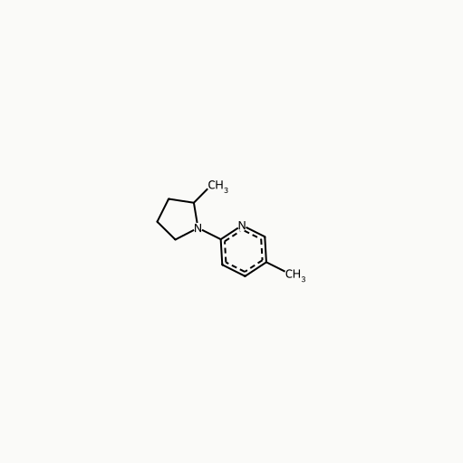 Cc1ccc(N2CCCC2C)nc1